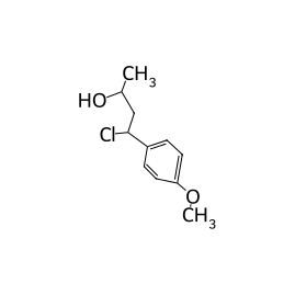 COc1ccc(C(Cl)CC(C)O)cc1